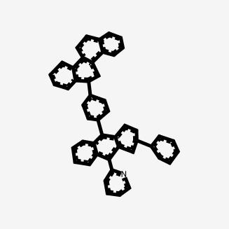 c1ccc(-c2ccc3c(-c4ccc(-c5cc6c7ccccc7ccc6c6ccccc56)cc4)c4ccccc4c(-c4ccccn4)c3c2)cc1